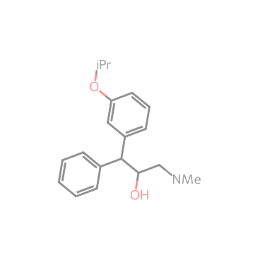 CNCC(O)C(c1ccccc1)c1cccc(OC(C)C)c1